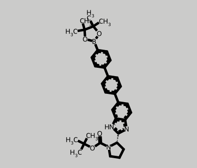 CC(C)(C)OC(=O)N1CCC[C@H]1c1nc2ccc(-c3ccc(-c4ccc(B5OC(C)(C)C(C)(C)O5)cc4)cc3)cc2[nH]1